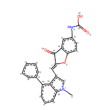 Cn1cc(/C=C2\Oc3ccc(NC(=O)O)cc3C2=O)c2c(-c3ccccc3)cccc21